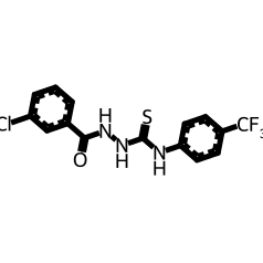 O=C(NNC(=S)Nc1ccc(C(F)(F)F)cc1)c1cccc(Cl)c1